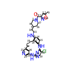 Cc1cc(C(=O)N2CCC(CCNc3ccc4cc3CCc3cncc(c3)Nc3ncc(Cl)c(n3)N4)CC2)no1